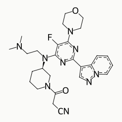 CN(C)CCN(c1nc(-c2cnn3ccccc23)nc(N2CCOCC2)c1F)[C@@H]1CCCN(C(=O)CC#N)C1